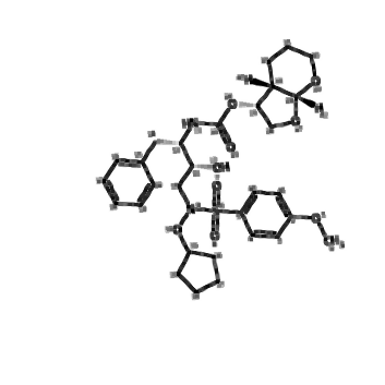 COc1ccc(S(=O)(=O)N(C[C@@H](O)[C@H](Cc2ccccc2)NC(=O)O[C@H]2CO[C@H]3OCCC[C@H]32)OC2CCCC2)cc1